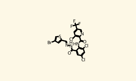 O=C(NN=Cc1cc(Br)cs1)c1cc(Cl)cc(Cl)c1NC(=O)c1ncc(C(F)(F)F)cc1Cl